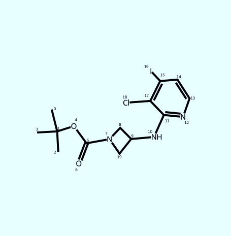 CC(C)(C)OC(=O)N1CC(Nc2nccc(I)c2Cl)C1